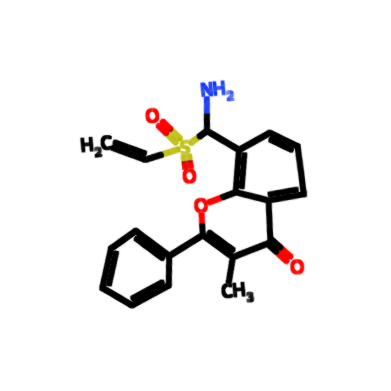 C=CS(=O)(=O)C(N)c1cccc2c(=O)c(C)c(-c3ccccc3)oc12